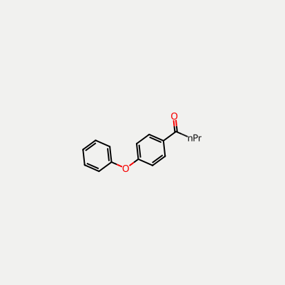 [CH2]CCC(=O)c1ccc(Oc2ccccc2)cc1